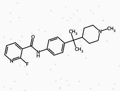 CN1CCC(C(C)(C)c2ccc(NC(=O)c3cccnc3F)cc2)CC1